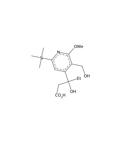 CCC(O)(CC(=O)O)c1cc([Si](C)(C)C)nc(OC)c1CO